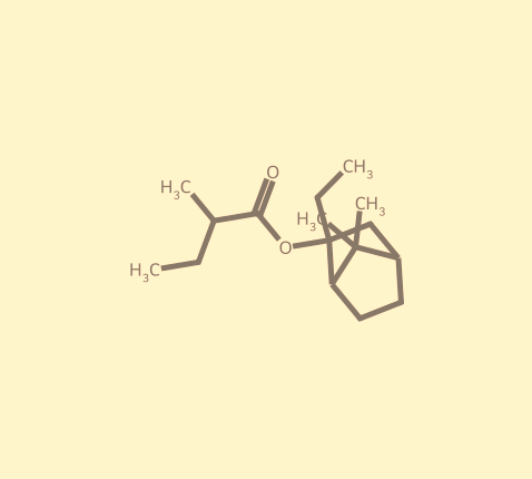 CCC(C)C(=O)OC1(CC)CC2CCC1C2(C)C